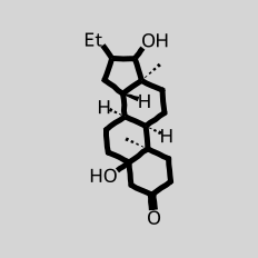 CCC1C[C@H]2[C@@H]3CCC4(O)CC(=O)CC[C@]4(C)[C@@H]3CC[C@]2(C)C1O